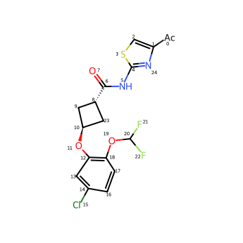 CC(=O)c1csc(NC(=O)[C@H]2C[C@H](Oc3cc(Cl)ccc3OC(F)F)C2)n1